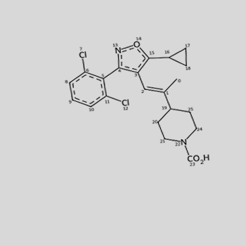 CC(=Cc1c(-c2c(Cl)cccc2Cl)noc1C1CC1)C1CCN(C(=O)O)CC1